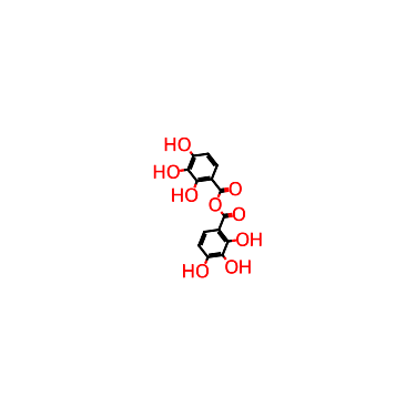 O=C(OC(=O)c1ccc(O)c(O)c1O)c1ccc(O)c(O)c1O